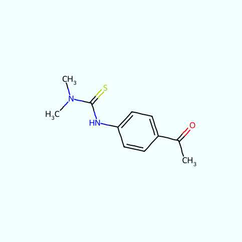 CC(=O)c1ccc(NC(=S)N(C)C)cc1